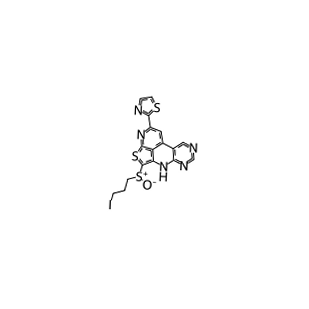 [O-][S+](CCCI)c1sc2nc(-c3nccs3)cc3c2c1Nc1ncncc1-3